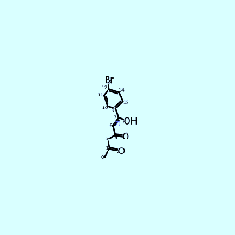 CC(=O)CC(=O)/C=C(\O)c1ccc(Br)cc1